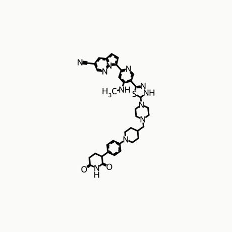 CNc1cc(-c2ccc3cc(C#N)cnn23)ncc1C1=NNC(N2CCN(CC3CCN(c4ccc(C5CCC(=O)NC5=O)cc4)CC3)CC2)S1